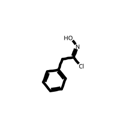 O/N=C(/Cl)Cc1ccccc1